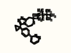 CC1(CO[Si](C)(C)C(C)(C)C)Cc2nnc(C3(c4ccc(-c5cccnn5)cc4)CC3)n2CCS1